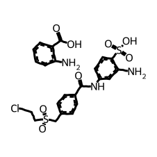 Nc1cc(NC(=O)c2ccc(CS(=O)(=O)CCCl)cc2)ccc1S(=O)(=O)O.Nc1ccccc1C(=O)O